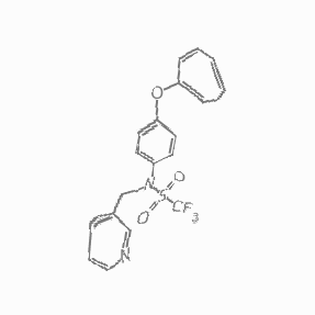 O=S(=O)(N(Cc1cccnc1)c1ccc(Oc2ccccc2)cc1)C(F)(F)F